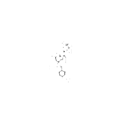 CCO[C@@H]1CC[C@H]1NC(=O)c1cnc2c(N(C)Cc3ccc(OC)cc3)cc(Cl)nn12